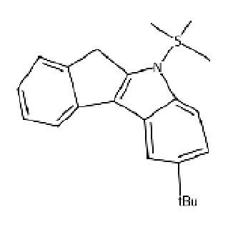 CC(C)(C)c1ccc2c(c1)c1c(n2S(C)(C)C)Cc2ccccc2-1